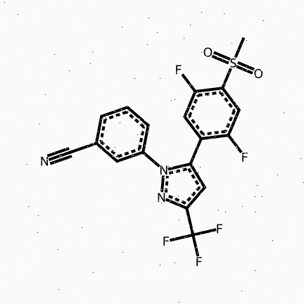 CS(=O)(=O)c1cc(F)c(-c2cc(C(F)(F)F)nn2-c2cccc(C#N)c2)cc1F